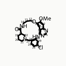 COc1cc2ncnc3c2cc1OCCCNC(=O)C1CCCN(Cc2ccc(Cl)cc2N3)C1